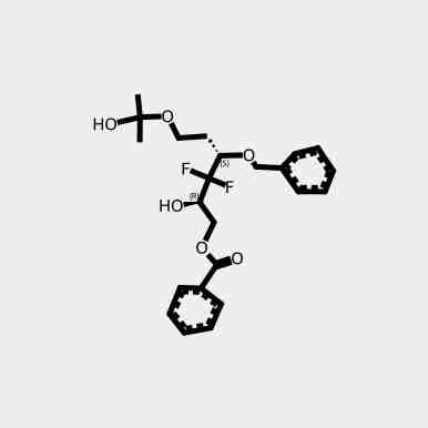 CC(C)(O)OCC[C@H](OCc1ccccc1)C(F)(F)[C@H](O)COC(=O)c1ccccc1